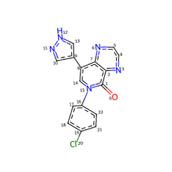 O=c1c2nccnc2c(-c2cn[nH]c2)cn1-c1ccc(Cl)cc1